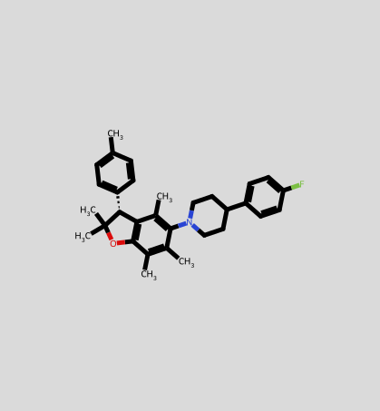 Cc1ccc([C@@H]2c3c(C)c(N4CCC(c5ccc(F)cc5)CC4)c(C)c(C)c3OC2(C)C)cc1